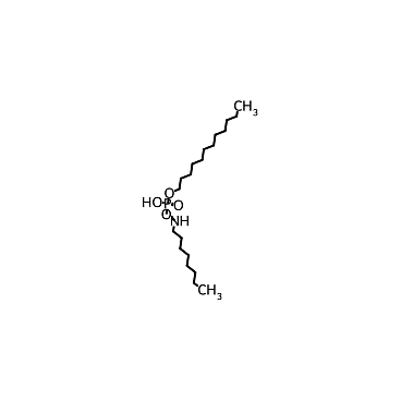 CCCCCCCCCCCCOP(=O)(O)ONCCCCCCCC